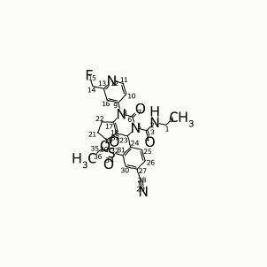 CCNC(=O)N1C(=O)N(c2ccnc(CF)c2)C2=C(C(=O)CC2)C1c1ccc(C#N)cc1S(=O)(=O)CC